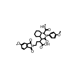 CNC(=O)C(C)N(C(=O)C(C1CCCCC1)C(CCN1C(=O)c2ccc(OC)cc2C1=O)C(=O)O)c1ccc(OC)cc1